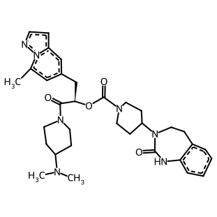 Cc1cc(C[C@@H](OC(=O)N2CCC(N3CCc4ccccc4NC3=O)CC2)C(=O)N2CCC(N(C)C)CC2)cc2ccnn12